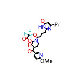 COc1ccc(C(=O)C2CCN(C(=O)CCCc3nc(C(C)C)cc(=O)[nH]3)CC2)cn1.O=C(O)C(F)(F)F